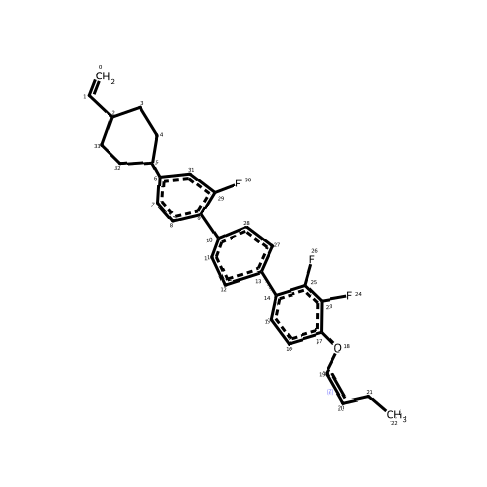 C=CC1CCC(c2ccc(-c3ccc(-c4ccc(O/C=C\CC)c(F)c4F)cc3)c(F)c2)CC1